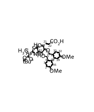 COc1ccc(CO[C@@H]2[C@H]3N=C([As](C)C(=O)OC(C)(C)C)S[C@H]3O[C@H](C=CC(=O)O)[C@H]2OCc2ccc(OC)cc2)cc1